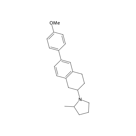 COc1ccc(-c2ccc3c(c2)CCC(N2CCCC2C)C3)cc1